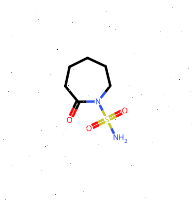 NS(=O)(=O)N1CCCCCC1=O